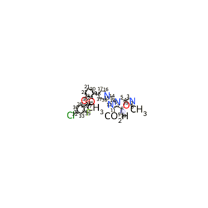 Cc1ncc(Cn2c(/C=C/C(=O)O)cnc2CN2CCC(c3cccc4c3OC(C)(c3ccc(Cl)cc3F)O4)CC2)o1